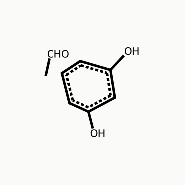 CC=O.Oc1cccc(O)c1